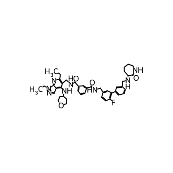 CCc1nc2c(cnn2CC)c(NC2CCOCC2)c1CNC(=O)c1cccc(C(=O)NCc2ccc(F)c(-c3cccc(CN[C@H]4CCCCNC4=O)c3)c2)c1